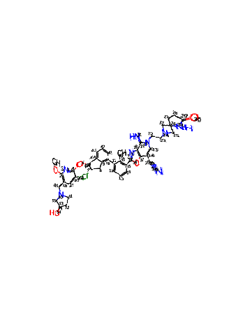 COc1nc(O[C@H]2CCc3c(-c4cccc(-c5nc6c(=N)n(CCN7CC8(CCC(=O)N8)C7)cc(C#N)c6o5)c4C)cccc32)c(Cl)cc1CN1CC[C@@H](O)C1